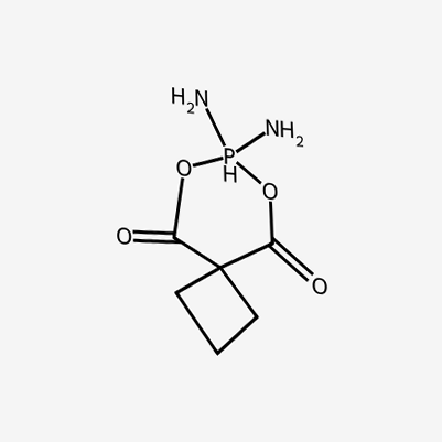 N[PH]1(N)OC(=O)C2(CCC2)C(=O)O1